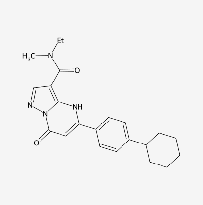 CCN(C)C(=O)c1cnn2c(=O)cc(-c3ccc(C4CCCCC4)cc3)[nH]c12